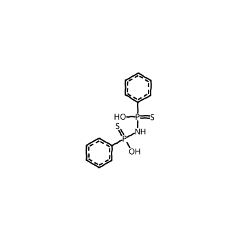 OP(=S)(NP(O)(=S)c1ccccc1)c1ccccc1